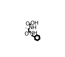 C[C@H](NC(=O)O)C(=O)NCc1ccccc1